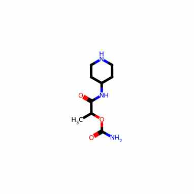 CC(OC(N)=O)C(=O)NC1CCNCC1